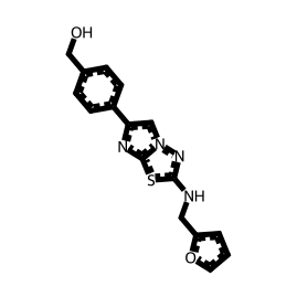 OCc1ccc(-c2cn3nc(NCc4ccco4)sc3n2)cc1